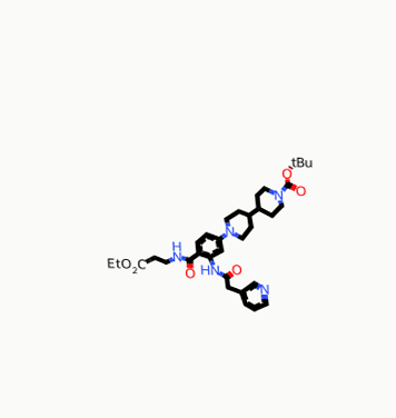 CCOC(=O)CCNC(=O)c1ccc(N2CCC(C3CCN(C(=O)OC(C)(C)C)CC3)CC2)cc1NC(=O)Cc1cccnc1